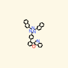 c1ccc2cc(-c3nc(-c4ccc(-c5cccc6oc7c8ccccc8ncc7c56)cc4)nc(-c4ccc5ccccc5c4)n3)ccc2c1